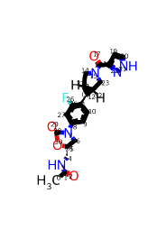 CC(=O)NC[C@H]1CN(c2ccc([C@H]3[C@@H]4CN(C(=O)c5cc[nH]n5)C[C@@H]43)c(F)c2)C(=O)O1